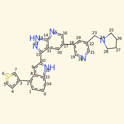 c1cc(-c2ccsc2)c2cc(-c3n[nH]c4ncc(-c5cncc(CN6CCCC6)c5)cc34)[nH]c2c1